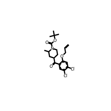 C=CCOc1cc(Cl)c(Cl)cc1C(=O)C1CCN(C(=O)OC(C)(C)C)C(C)C1